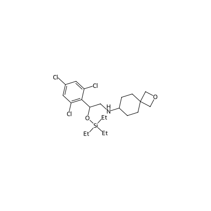 CC[Si](CC)(CC)OC(CNC1CCC2(CC1)COC2)c1c(Cl)cc(Cl)cc1Cl